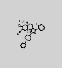 C[C@H]1C(=O)C(C#N)=C[C@@]2(C)c3c(c(-c4ccccc4F)nn3C3CCN(c4ccccc4)CC3)CC[C@H]12